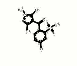 Cc1nn(C)c(O)c1C(=O)c1ccc(Cl)cc1S(C)(=O)=O